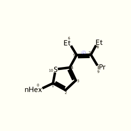 CCCCCCc1ccc(/C(CC)=C(/CC)C(C)C)s1